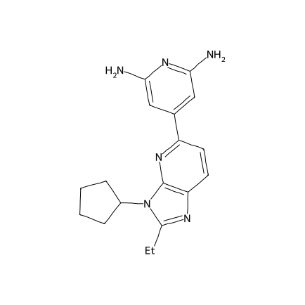 CCc1nc2ccc(-c3cc(N)nc(N)c3)nc2n1C1CCCC1